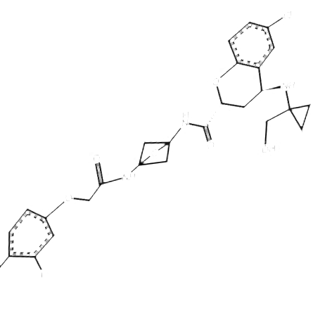 O=C(COc1ccc(Cl)c(F)c1)NC12CC(NC(=O)[C@H]3C[C@H](NC4(CO)CC4)c4cc(Cl)ccc4O3)(C1)C2